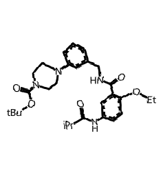 CCOc1ccc(NC(=O)C(C)C)cc1C(=O)NCc1cccc(N2CCN(C(=O)OC(C)(C)C)CC2)c1